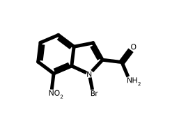 NC(=O)c1cc2cccc([N+](=O)[O-])c2n1Br